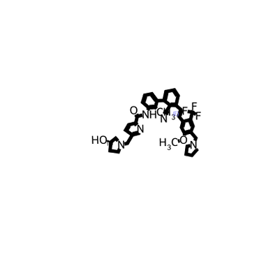 COc1cc(/C=C/c2cccc(-c3cccc(NC(=O)c4ccc(CN5CC[C@@H](O)C5)cn4)c3C)c2C#N)c(C(F)(F)F)cc1CN1CCCC1